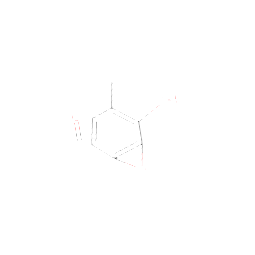 C=O.Cc1ccc2c(c1O)O2